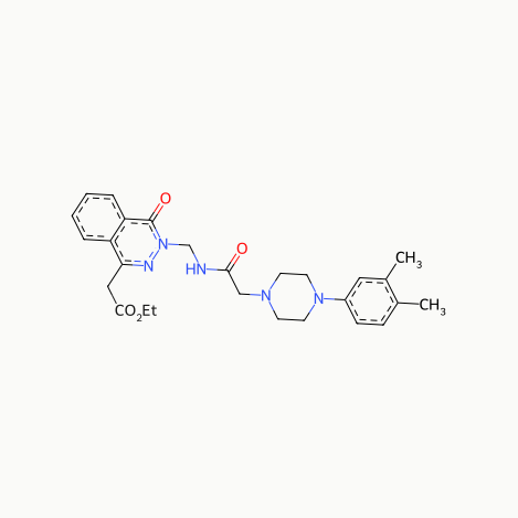 CCOC(=O)Cc1nn(CNC(=O)CN2CCN(c3ccc(C)c(C)c3)CC2)c(=O)c2ccccc12